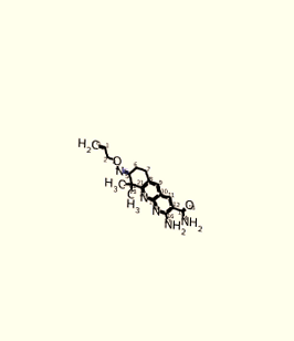 C=CCO/N=C1\CCc2cc3cc(C(N)=O)c(N)nc3nc2C1(C)C